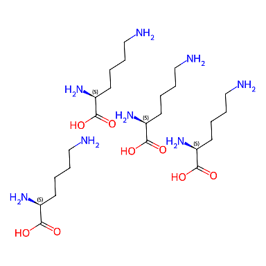 NCCCC[C@H](N)C(=O)O.NCCCC[C@H](N)C(=O)O.NCCCC[C@H](N)C(=O)O.NCCCC[C@H](N)C(=O)O